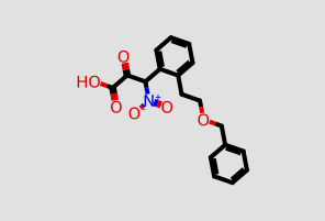 O=C(O)C(=O)C(c1ccccc1CCOCc1ccccc1)[N+](=O)[O-]